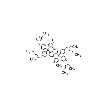 CCCCC(CC)Cc1ccc(C2(c3ccc(CC(CC)CCCC)cc3)c3cc(C)sc3-c3ccc4c5c(ccc2c35)-c2sc(C)cc2C4(c2ccc(CC(CC)CCCC)cc2)c2ccc(CC(CC)CCCC)cc2)cc1